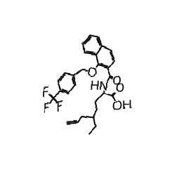 C=CCC(CC)CCC(NC(=O)c1ccc2ccccc2c1OCc1ccc(C(F)(F)F)cc1)C(=O)O